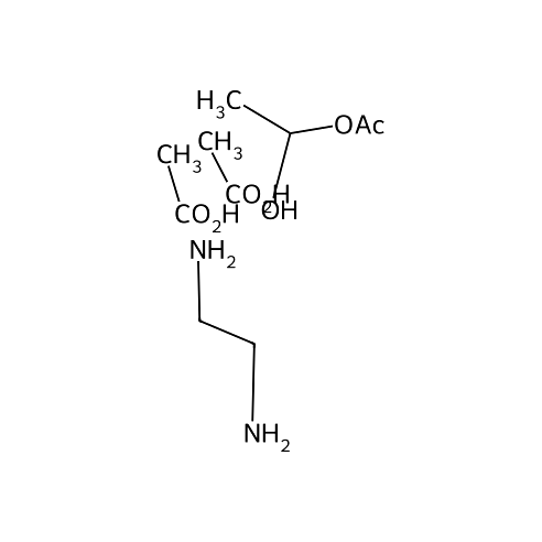 CC(=O)O.CC(=O)O.CC(=O)OC(C)O.NCCN